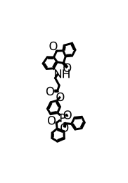 O=C(CCNc1cccc2c1C(=O)c1ccccc1C2=O)Oc1cccc(P(=O)(C(=O)c2ccccc2)C(=O)c2ccccc2)c1